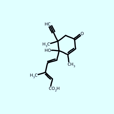 C#CC1(C)CC(=O)C=C(C)C1(O)C=CC(C)=CC(=O)O